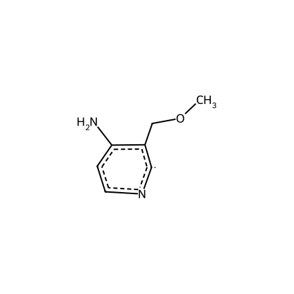 COCc1[c]nccc1N